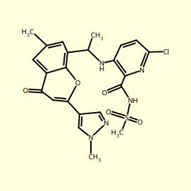 Cc1cc(C(C)Nc2ccc(Cl)nc2C(=O)NS(C)(=O)=O)c2oc(-c3cnn(C)c3)cc(=O)c2c1